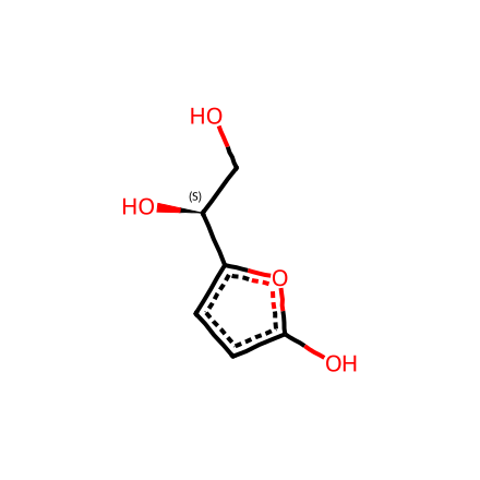 OC[C@H](O)c1ccc(O)o1